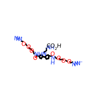 [N-]=[N+]=NCCOCCOCCOCCNC(=O)c1ccc2c3ccc(C(=O)NCCOCCOCCOCCN=[N+]=[N-])cc3n(CCCNC(=O)O)c2c1